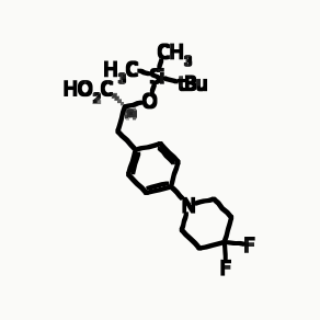 CC(C)(C)[Si](C)(C)O[C@H](Cc1ccc(N2CCC(F)(F)CC2)cc1)C(=O)O